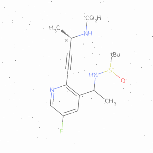 CC(N[S+]([O-])C(C)(C)C)c1cc(F)cnc1C#C[C@@H](C)NC(=O)O